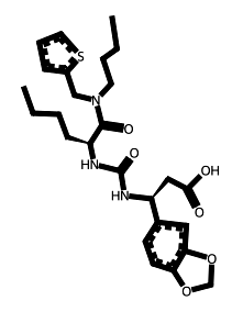 CCCC[C@H](NC(=O)N[C@@H](CC(=O)O)c1ccc2c(c1)OCO2)C(=O)N(CCCC)Cc1cccs1